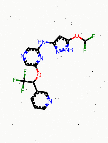 FC(F)Oc1cc(Nc2cncc(OC(c3cccnc3)C(F)(F)F)n2)n[nH]1